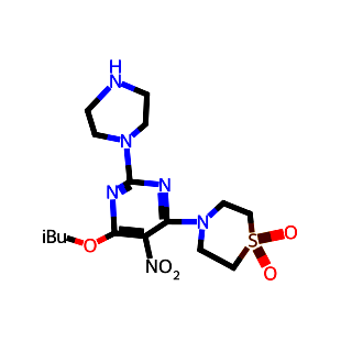 CCC(C)Oc1nc(N2CCNCC2)nc(N2CCS(=O)(=O)CC2)c1[N+](=O)[O-]